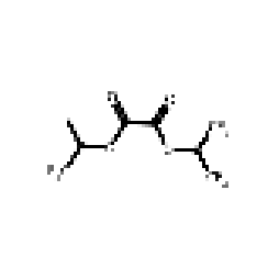 CC(OC(=O)C(=O)OC(C(F)(F)F)C(F)(F)F)C(F)(F)F